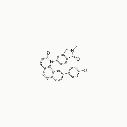 CN1Cc2cc(-n3c(=O)ccc4cnc5ccc(-c6ccc(Cl)cc6)cc5c43)ccc2C1=O